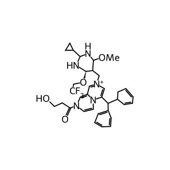 COC1NC(C2CC2)N[C@H](OCC(F)(F)F)C1C[N+]1=CC2=CN(C(=O)CCO)C=CN2C(C(c2ccccc2)C2C=CC=CC2)=C1